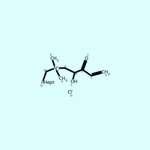 C=CC(=O)C(O)C[N+](C)(C)CCCCCCCC.[Cl-]